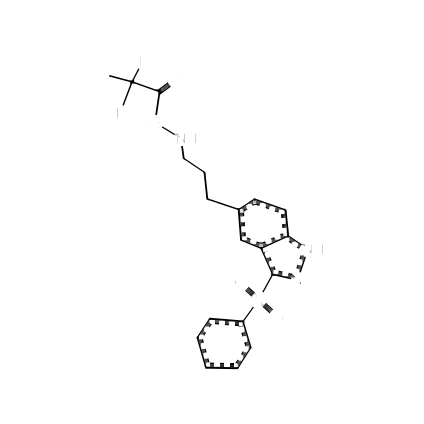 O=C(ONCCCc1ccc2[nH]nc(S(=O)(=O)c3ccccc3)c2c1)C(F)(F)F